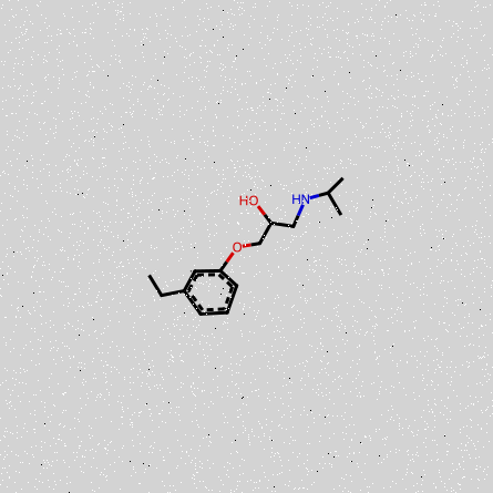 CCc1[c]c(OCC(O)CNC(C)C)ccc1